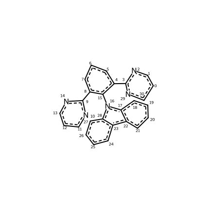 c1cnc(-c2cccc(-c3ncccn3)c2-n2c3ccccc3c3ccccc32)nc1